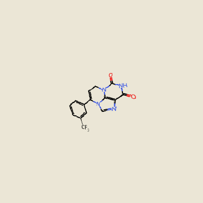 O=c1[nH]c(=O)n2c3c1ncn3C(c1cccc(C(F)(F)F)c1)=CC2